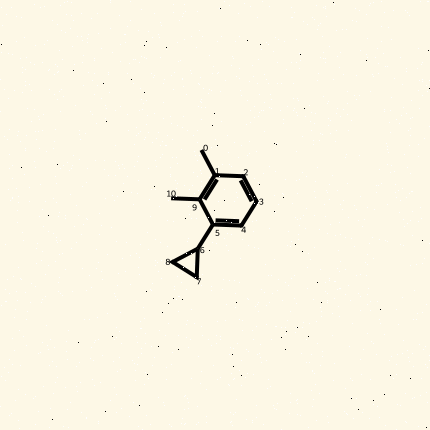 Cc1cccc(C2CC2)c1C